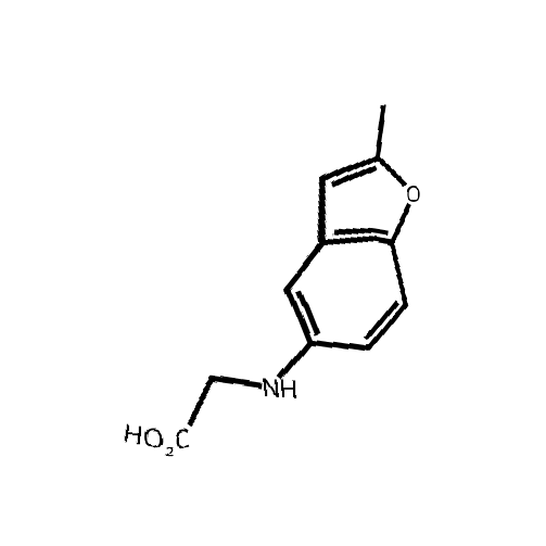 Cc1cc2cc(NCC(=O)O)ccc2o1